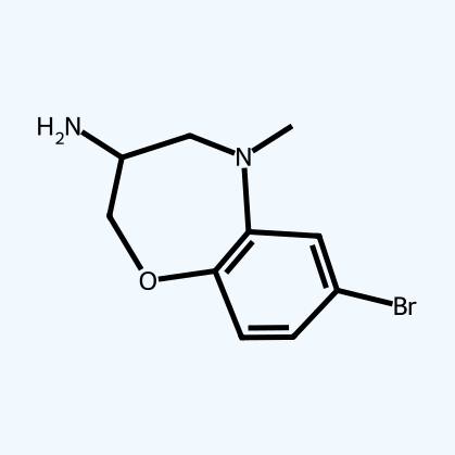 CN1CC(N)COc2ccc(Br)cc21